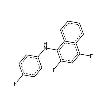 Fc1ccc(Nc2c(I)cc(F)c3ccccc23)cc1